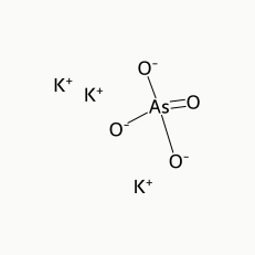 O=[As]([O-])([O-])[O-].[K+].[K+].[K+]